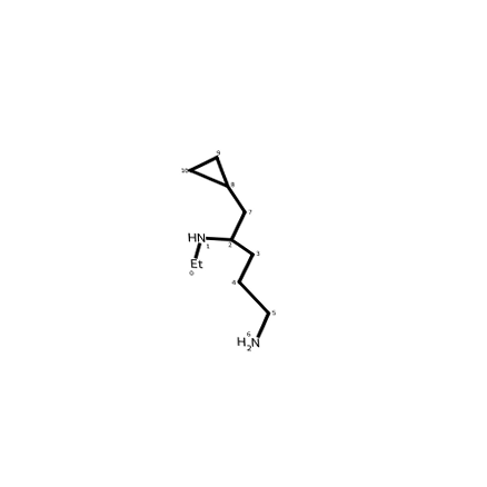 CCNC(CCCN)CC1CC1